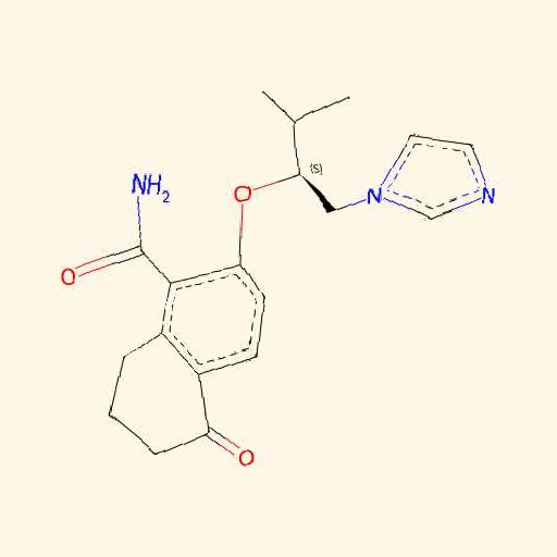 CC(C)[C@@H](Cn1ccnc1)Oc1ccc2c(c1C(N)=O)CCCC2=O